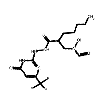 CCCCCC(CN(O)C=O)C(=O)NNc1nc(C(F)(F)F)cc(=O)[nH]1